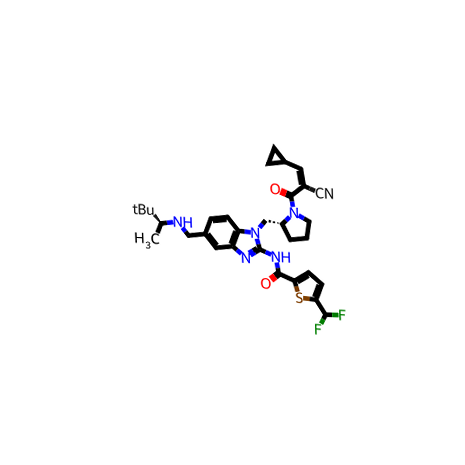 C[C@H](NCc1ccc2c(c1)nc(NC(=O)c1ccc(C(F)F)s1)n2C[C@H]1CCCN1C(=O)/C(C#N)=C\C1CC1)C(C)(C)C